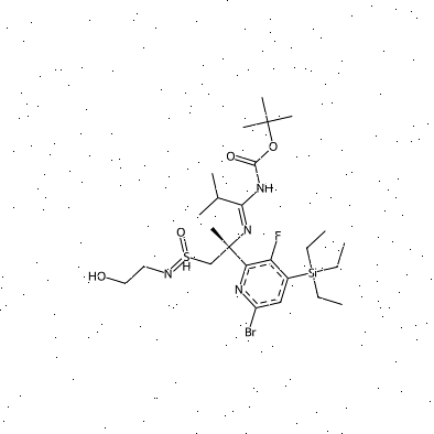 CC[Si](CC)(CC)c1cc(Br)nc([C@](C)(C/[SH](=O)=N/CCO)/N=C(/NC(=O)OC(C)(C)C)C(C)C)c1F